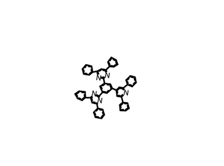 c1ccc(-c2cc(-c3cc(-c4nc(-c5ccccc5)cc(-c5ccccc5)n4)cc(-c4nc(-c5ccccc5)cc(-c5ccccc5)n4)c3)cc(-c3ccccc3)n2)cc1